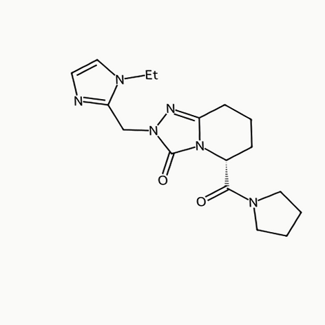 CCn1ccnc1Cn1nc2n(c1=O)[C@@H](C(=O)N1CCCC1)CCC2